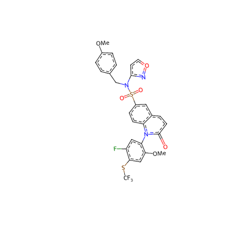 COc1ccc(CN(c2ccon2)S(=O)(=O)c2ccc3c(ccc(=O)n3-c3cc(F)c(SC(F)(F)F)cc3OC)c2)cc1